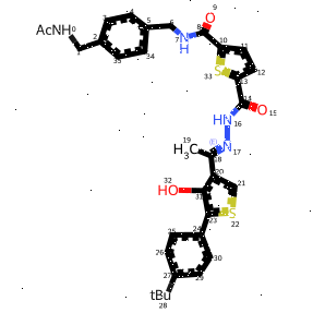 CC(=O)NCc1ccc(CNC(=O)c2ccc(C(=O)N/N=C(\C)c3csc(-c4ccc(C(C)(C)C)cc4)c3O)s2)cc1